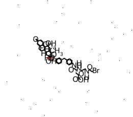 C[C@]12C=CC(=O)C=C1CC[C@H]1[C@@H]3C[C@H]4O[C@@H](c5cccc(Cc6ccc(NC(=O)[C@H](CCC(=O)O)NC(=O)CNC(=O)CBr)cc6)c5)O[C@@]4(C(=O)CO)[C@@]3(C)C[C@H](O)[C@@]12F